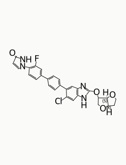 O=c1ccn(-c2ccc(-c3ccc(-c4cc5nc(OC6CO[C@@H]7CCO[C@H]67)[nH]c5cc4Cl)cc3)cc2F)[nH]1